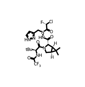 CC(C)(C)[C@H](NC(=O)C(F)(F)F)C(=O)N1C[C@H]2[C@@H]([C@H]1C(=O)NN(Cc1cc[nH]n1)C(=O)[C@H](F)Cl)C2(C)C